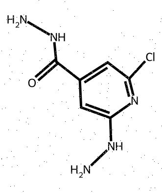 NNC(=O)c1cc(Cl)nc(NN)c1